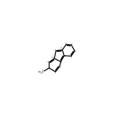 CC1C=CC2=c3ccccc3=CC2=C1